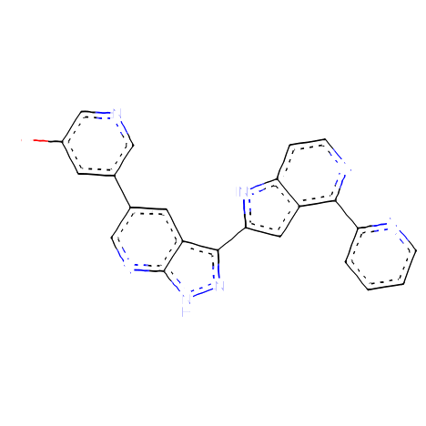 Oc1cncc(-c2cnc3[nH]nc(-c4cc5c(-c6ccccn6)nccc5[nH]4)c3c2)c1